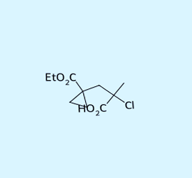 CCOC(=O)C1(CC(C)(Cl)C(=O)O)CC1